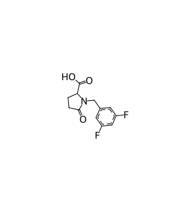 O=C(O)C1CCC(=O)N1Cc1cc(F)cc(F)c1